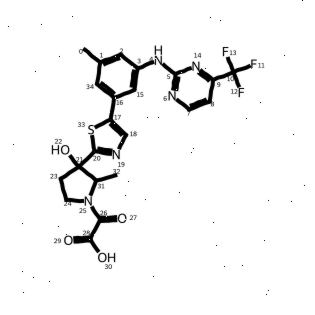 Cc1cc(Nc2nccc(C(F)(F)F)n2)cc(-c2cnc(C3(O)CCN(C(=O)C(=O)O)C3C)s2)c1